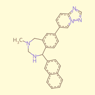 CN1CNC(c2ccc3ccccc3c2)c2ccc(-c3ccc4ncnn4c3)cc2C1